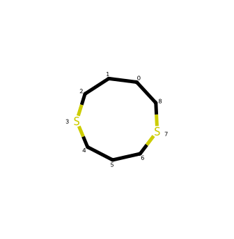 C1CCSCCCSC1